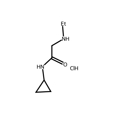 CCNCC(=O)NC1CC1.Cl